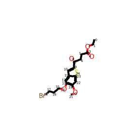 CCOC(=O)CCC(=O)c1cc2cc(OCCCBr)c(OC)cc2s1